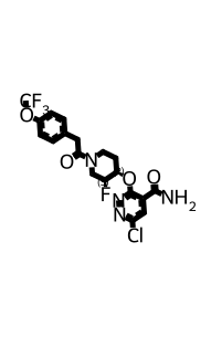 NC(=O)c1cc(Cl)nnc1O[C@@H]1CCN(C(=O)Cc2ccc(OC(F)(F)F)cc2)C[C@@H]1F